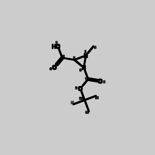 CN1C(C(=O)O)N1C(=O)OC(C)(C)C